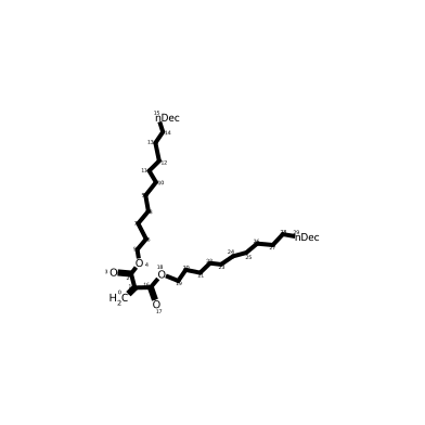 C=C(C(=O)OCCCCCCCCCCCCCCCCCCCC)C(=O)OCCCCCCCCCCCCCCCCCCCC